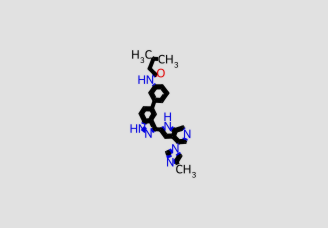 Cc1cn(-c2cncc3[nH]c(-c4n[nH]c5ccc(-c6cccc(NC(=O)CC(C)C)c6)cc45)cc23)cn1